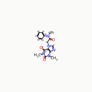 CC(C)N(C(=O)Cn1cnc2c1c(=O)n(C)c(=O)n2C)c1ccccc1